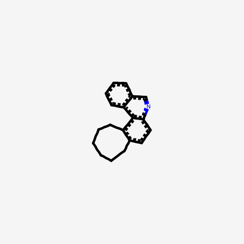 c1ccc2c(c1)cnc1ccc3c(c12)CCCCCC3